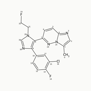 Cc1cnc2ccc(-c3c(-c4ccc(F)c(Cl)c4)ncn3CCF)nn12